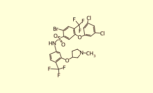 CN1CCC(Oc2cc(NS(=O)(=O)c3cc(Oc4cc(Cl)cc(Cl)c4)c(C(F)(F)F)cc3Br)ccc2C(F)(F)F)C1